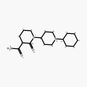 NC(=O)C1CCCN(C2CCN(C3CCCCC3)CC2)C1=O